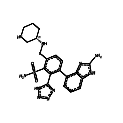 Nc1nc2c(-c3ccc(SN[C@H]4CCCNC4)c(S(N)(=O)=O)c3-c3nnn[nH]3)cccc2[nH]1